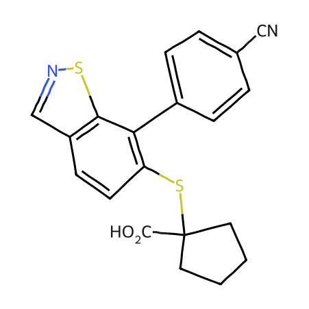 N#Cc1ccc(-c2c(SC3(C(=O)O)CCCC3)ccc3cnsc23)cc1